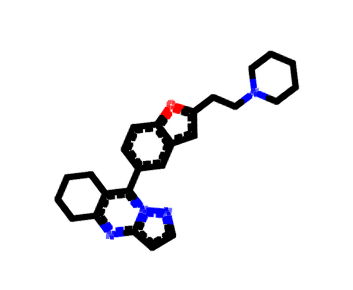 c1cc2nc3c(c(-c4ccc5oc(CCN6CCCCC6)cc5c4)n2n1)CCCC3